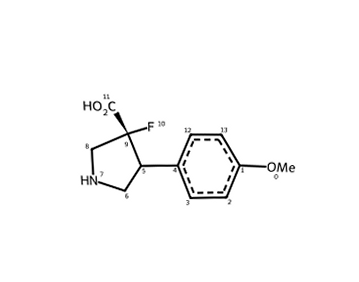 COc1ccc(C2CNC[C@@]2(F)C(=O)O)cc1